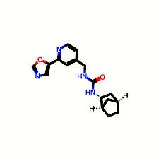 O=C(NCc1ccnc(-c2cnco2)c1)N[C@@H]1C[C@H]2CC[C@@H]1C2